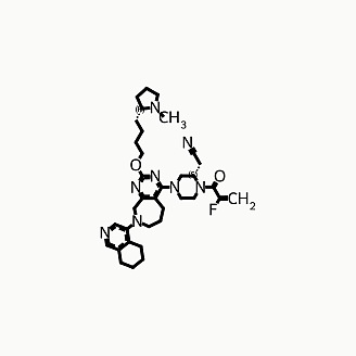 C=C(F)C(=O)N1CCN(c2nc(OCCCC[C@@H]3CCCN3C)nc3c2CCCN(c2cncc4c2CCCC4)C3)C[C@@H]1CC#N